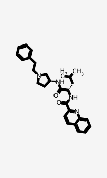 CC(C)C[C@H](NC(=O)c1ccc2ccccc2n1)C(=O)N[C@H]1CCN(CCc2ccccc2)C1